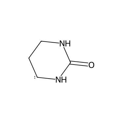 O=C1N[C]CCN1